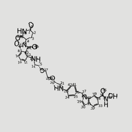 O=C1CCC(N2C(=O)c3cccc(NCCOCCOCCNc4ccc(Cn5ccc6ccc(C(=O)NO)cc65)cc4)c3C2=O)C(=O)N1